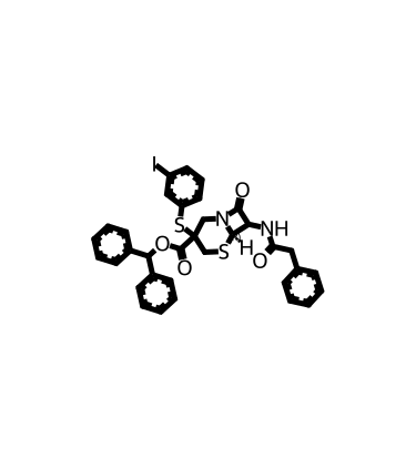 O=C(Cc1ccccc1)NC1C(=O)N2CC(Sc3cccc(I)c3)(C(=O)OC(c3ccccc3)c3ccccc3)CS[C@H]12